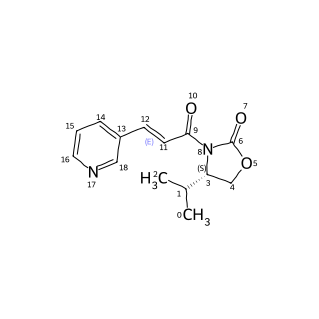 CC(C)[C@H]1COC(=O)N1C(=O)/C=C/c1cccnc1